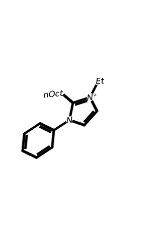 CCCCCCCCc1n(-c2ccccc2)cc[n+]1CC